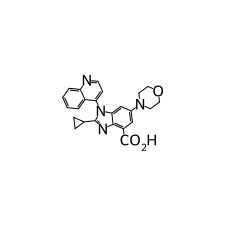 O=C(O)c1cc(N2CCOCC2)cc2c1nc(C1CC1)n2-c1ccnc2ccccc12